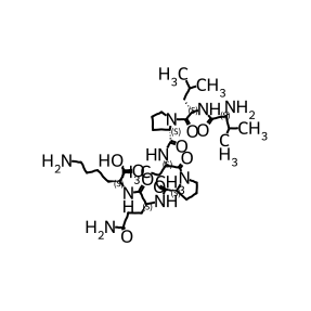 CC(C)C[C@H](NC(=O)[C@@H](N)C(C)C)C(=O)N1CCC[C@H]1C(=O)N[C@H](C(=O)N1CCC[C@H]1C(=O)N[C@@H](CCC(N)=O)C(=O)N[C@@H](CCCCN)C(=O)O)C(C)C